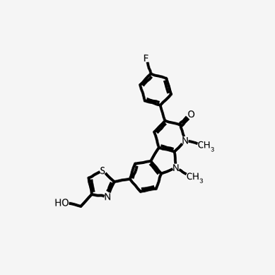 Cn1c(=O)c(-c2ccc(F)cc2)cc2c3cc(-c4nc(CO)cs4)ccc3n(C)c21